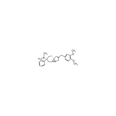 COc1ccc(CN2CN[C@]3(CC[C@@](c4ccccc4)(N(C)C)CC3)C2)cc1OC